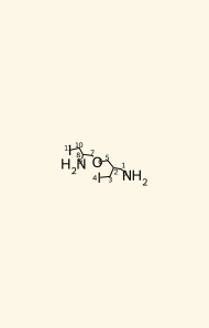 NCC(CI)COCC(N)CI